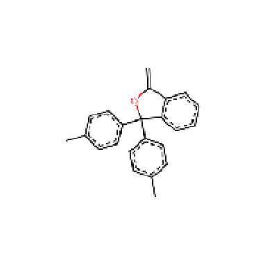 C=C1OC(c2ccc(C)cc2)(c2ccc(C)cc2)c2ccccc21